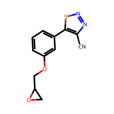 N#Cc1nnsc1-c1cccc(OCC2CO2)c1